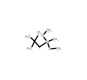 CO[Si](C)(CC(C)(C)C)OC